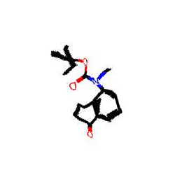 CN(C(=O)OC(C)(C)C)c1cccc2c1CCC2=O